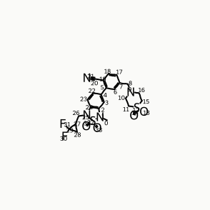 CN1c2cc(-c3cc(CN4CCS(=O)(=O)CC4)ccc3C#N)ccc2N(CC2CC2(F)F)S1(=O)=O